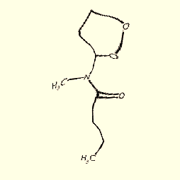 CCCC(=O)N(C)C1CCCOO1